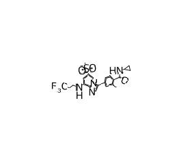 Cc1cc(-c2cnc3c(NCCC(F)(F)F)cc(S(C)(=O)=O)cn23)ccc1C(=O)NC1CC1